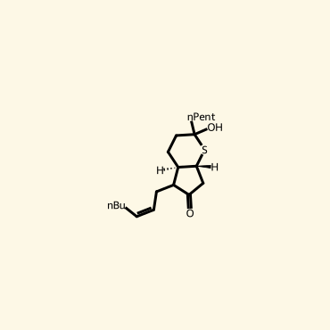 CCCC/C=C\CC1C(=O)C[C@H]2SC(O)(CCCCC)CC[C@H]12